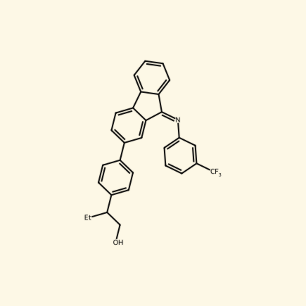 CCC(CO)c1ccc(-c2ccc3c(c2)C(=Nc2cccc(C(F)(F)F)c2)c2ccccc2-3)cc1